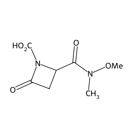 CON(C)C(=O)C1CC(=O)N1C(=O)O